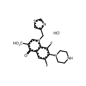 Cl.O=C(O)c1cn(Cc2cscn2)c2c(F)c(N3CCNCC3)c(F)cc2c1=O